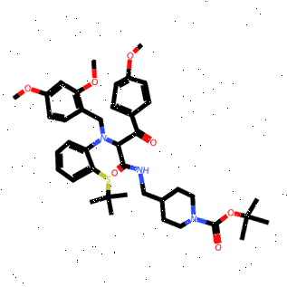 COc1ccc(C(=O)C(C(=O)NCC2CCN(C(=O)OC(C)(C)C)CC2)N(Cc2ccc(OC)cc2OC)c2ccccc2SC(C)(C)C)cc1